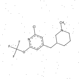 CN1CCCC(Cc2cc(Cl)nc(OC(F)(F)F)c2)C1